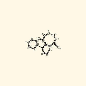 O=c1ooooc(=O)c2c(-c3ccccc3)cccc12